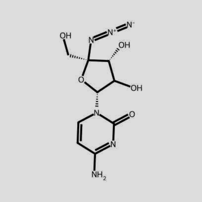 [N-]=[N+]=N[C@]1(CO)O[C@@H](n2ccc(N)nc2=O)C(O)[C@H]1O